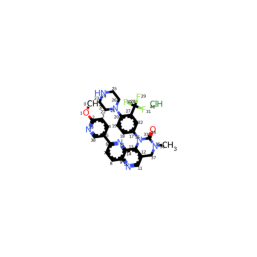 COc1ccc(-c2ccc3ncc4c(c3n2)N(c2ccc(N3CCNCC3)c(C(F)(F)F)c2)C(=O)N(C)C4)cn1.Cl